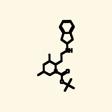 CC1CC(C)C(CCNC2Cc3ccccc3C2)N(C(=O)OC(C)(C)C)C1